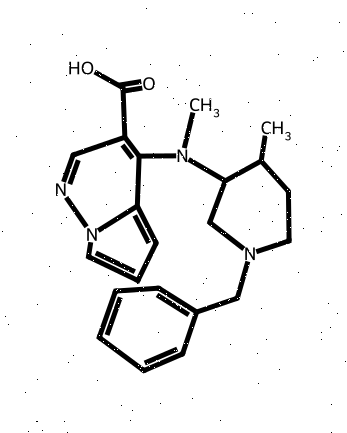 CC1CCN(Cc2ccccc2)CC1N(C)c1c(C(=O)O)cnn2cccc12